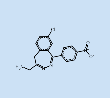 NCC1=NN=C(c2ccc([N+](=O)[O-])cc2)c2cc(Cl)ccc2C1